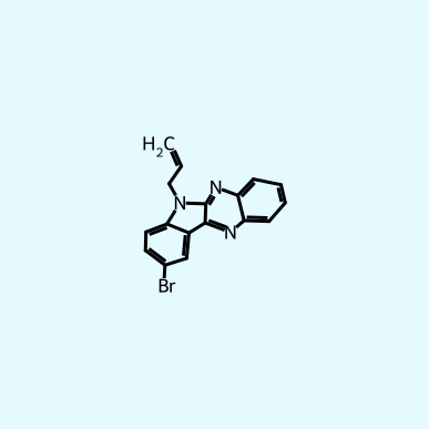 C=CCn1c2ccc(Br)cc2c2nc3ccccc3nc21